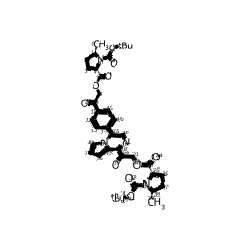 C[C@H]1CC[C@@H](C(=O)OCC(=O)c2ccc(-c3cnc(C(=O)COC(=O)[C@@H]4CC[C@H](C)N4C(=O)OC(C)(C)C)c4cccn34)cc2)N1C(=O)OC(C)(C)C